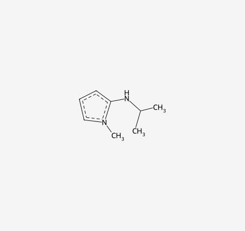 CC(C)Nc1cccn1C